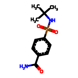 CC(C)(C)NS(=O)(=O)c1ccc(C(N)=O)cc1